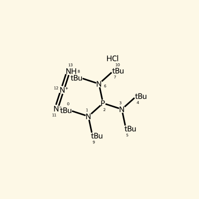 CC(C)(C)N(P(N(C(C)(C)C)C(C)(C)C)N(C(C)(C)C)C(C)(C)C)C(C)(C)C.Cl.[N-]=[N+]=N